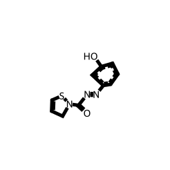 O=C(N=Nc1cccc(O)c1)N1CC=CS1